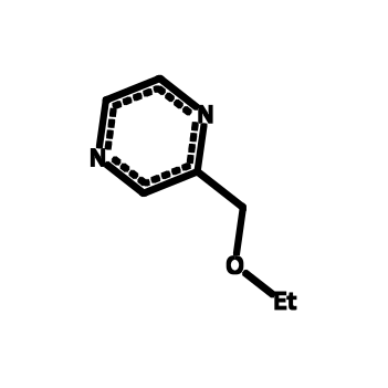 CCOCc1cnccn1